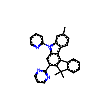 Cc1ccc2c3c4c(c(-c5ncccn5)cc3n(-c3ccccn3)c2c1)C(C)(C)c1ccccc1-4